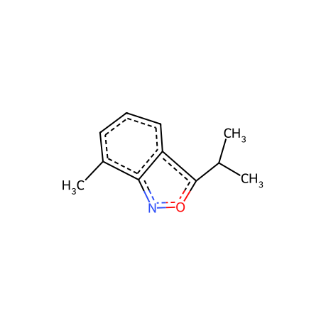 Cc1cccc2c(C(C)C)onc12